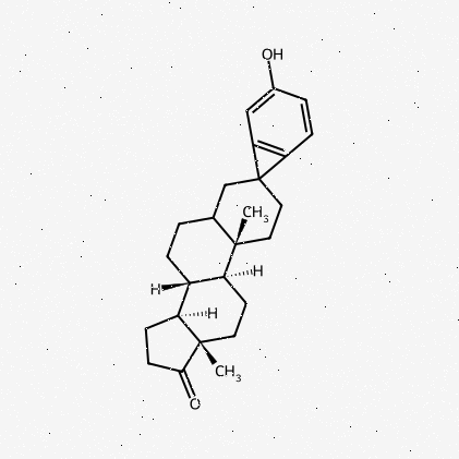 C[C@]12CCC3(CC1CC[C@@H]1[C@@H]2CC[C@]2(C)C(=O)CC[C@@H]12)c1ccc(O)cc13